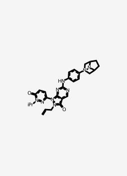 C=CCn1c(=O)c2cnc(Nc3ccc(N4CC5CCC(C4)N5C)cc3)nc2n1-c1ccc(=O)n(C(C)C)n1